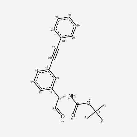 CC(C)(C)OC(=O)N[C@H](C=O)c1cccc(C#Cc2ccccc2)c1